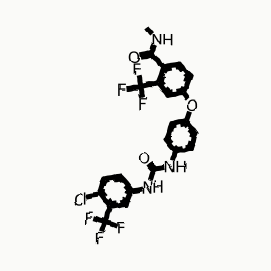 CNC(=O)c1ccc(Oc2ccc(NC(=O)Nc3ccc(Cl)c(C(F)(F)F)c3)cc2)cc1C(F)(F)F